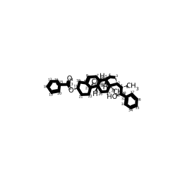 C[C@@H]([C@H]1CC[C@H]2[C@@H]3CC=C4C[C@@H](OC(=O)c5ccccc5)CC[C@]4(C)[C@H]3CC[C@]12C)[C@@H](O)c1ccccc1